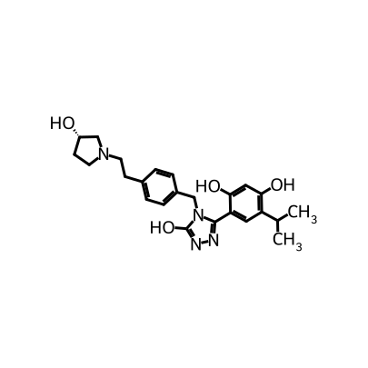 CC(C)c1cc(-c2nnc(O)n2Cc2ccc(CCN3CC[C@H](O)C3)cc2)c(O)cc1O